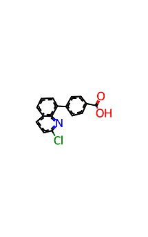 O=C(O)c1ccc(-c2cccc3ccc(Cl)nc23)cc1